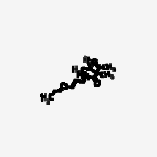 CCCOCCCNC(=O)C(C)(C(C)C)C(C)C